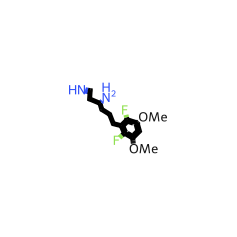 COc1cc(OC)c(F)c(CCCC(N)CC=N)c1F